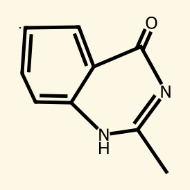 Cc1nc(=O)c2c[c]ccc2[nH]1